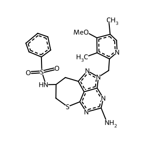 COc1c(C)cnc(Cn2nc3c4c(nc(N)nc42)SCC(NS(=O)(=O)c2ccccc2)C3)c1C